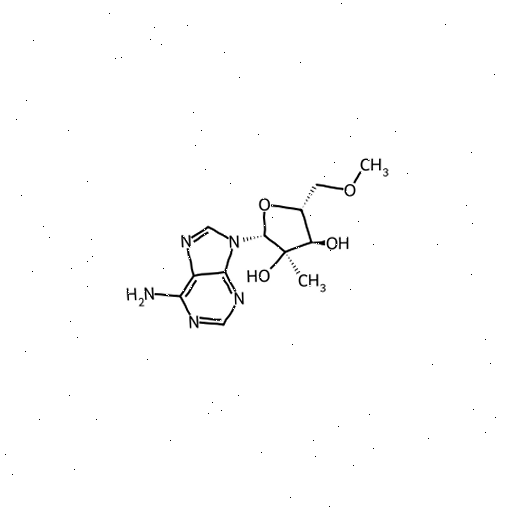 COC[C@H]1O[C@@H](n2cnc3c(N)ncnc32)[C@](C)(O)[C@@H]1O